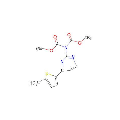 CC(C)(C)OC(=O)N(C(=O)OC(C)(C)C)c1nccc(-c2ccc(C(=O)O)s2)n1